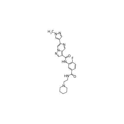 Cn1cc(-c2cn3ncc(C(=O)Nc4cc(C(=O)NCCN5CCCCC5)ccc4F)c3cn2)cn1